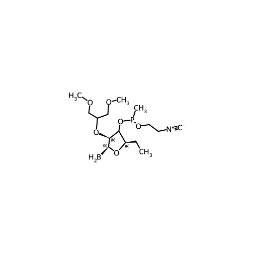 B[C@@H]1O[C@H](CC)C(OP(C)OCC[N+]#[C-])[C@@H]1OC(COC)COC